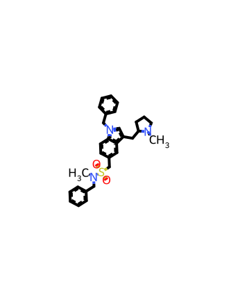 CN1CCCC1Cc1cn(Cc2ccccc2)c2ccc(CS(=O)(=O)N(C)Cc3ccccc3)cc12